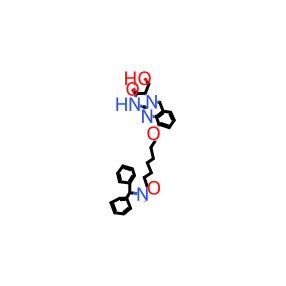 CN(C(=O)CCCCCCOc1cccc2c1N=C1NC(=O)C(CO)N1C2)C(c1ccccc1)c1ccccc1